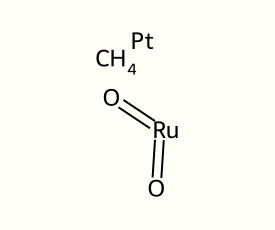 C.[O]=[Ru]=[O].[Pt]